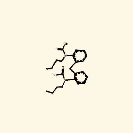 CCCCN(C(O)=S)c1ccccc1Cc1ccccc1N(CCCC)C(O)=S